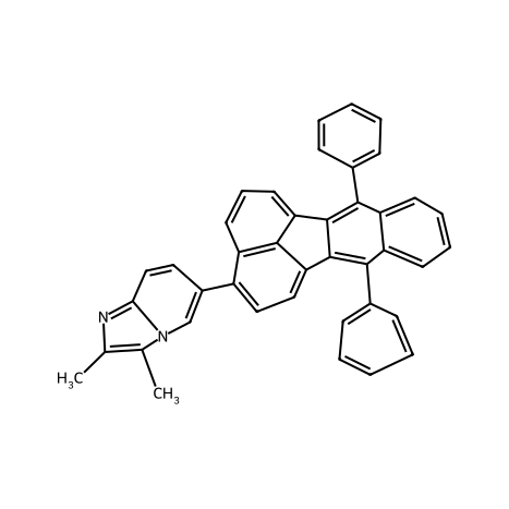 Cc1nc2ccc(-c3ccc4c5c(cccc35)-c3c-4c(-c4ccccc4)c4ccccc4c3-c3ccccc3)cn2c1C